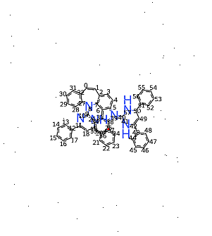 C1=Cc2ccc3c(c2N(C2=NC(c4ccccc4)=CC(c4ccccc4)N2)c2ccccc21)c1ccccc1n3[C@@H]1NC(c2ccccc2)=CC(c2ccccc2)N1